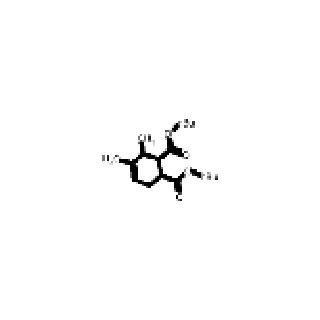 CCCCOC(=O)C1CC=C(C)C(C)C1C(=O)OCCCC